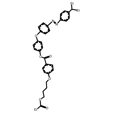 CCC(=O)OCCCCOc1ccc(C(=O)Oc2ccc(Oc3ccc(N=Nc4ccc(C(CC)CC)cc4)cc3)cc2)cc1